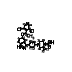 C[C@@H](Oc1ccc2[nH]nc(-c3ccc(N4CCN(C(=O)O)C5(CC5)C4)nc3)c2c1)c1c(Cl)cncc1Cl